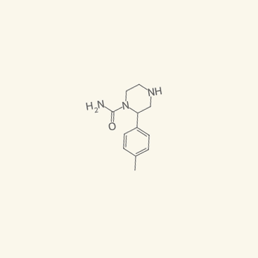 Cc1ccc(C2CNCCN2C(N)=O)cc1